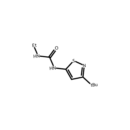 CCNC(=O)Nc1cc(C(C)(C)C)ns1